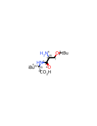 CC[C@H](C)[C@H](NC(=O)[C@@H](N)COC(C)(C)C)C(=O)O